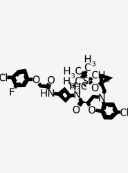 CC(C)(C)[Si](C)(C)OC1(CN2C[C@H](C(=O)NC34CC(NC(=O)COc5ccc(Cl)c(F)c5)(C3)C4)Oc3ccc(Cl)cc32)CC1